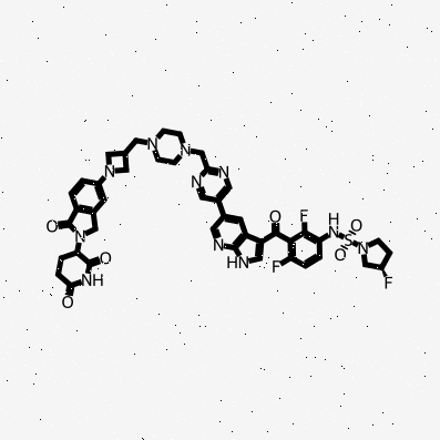 O=C1CCC(N2Cc3cc(N4CC(CN5CCN(Cc6ncc(-c7cnc8[nH]cc(C(=O)c9c(F)ccc(NS(=O)(=O)N%10CC[C@@H](F)C%10)c9F)c8c7)cn6)CC5)C4)ccc3C2=O)C(=O)N1